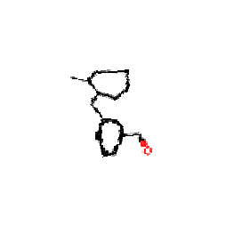 CC1CCCCC1Cc1cccc(C=O)c1